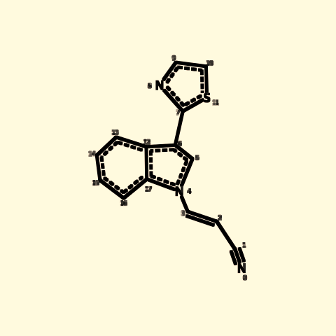 N#CC=Cn1cc(-c2nccs2)c2ccccc21